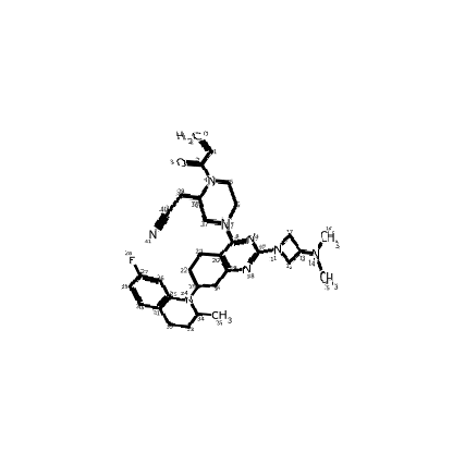 C=CC(=O)N1CCN(c2nc(N3CC(N(C)C)C3)nc3c2CCC(N2c4cc(F)ccc4CCC2C)C3)CC1CC#N